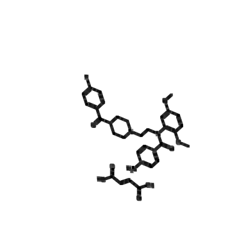 COc1ccc(OC)c(N(CCN2CCC(C(=O)c3ccc(F)cc3)CC2)C(=O)c2ccc(N)cc2)c1.O=C(O)C=CC(=O)O